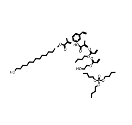 C=C(C)C(=O)O.C=C(C)C(=O)OC.C=CC(=O)OCCCC.C=CC(=O)OCCO.C=Cc1ccccc1.CCCCCCCCCCCCCO.CCCCOP(=O)(OCCCC)OCCCC